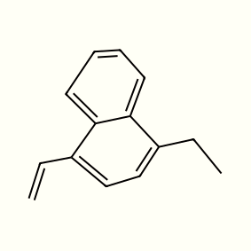 C=Cc1ccc(CC)c2ccccc12